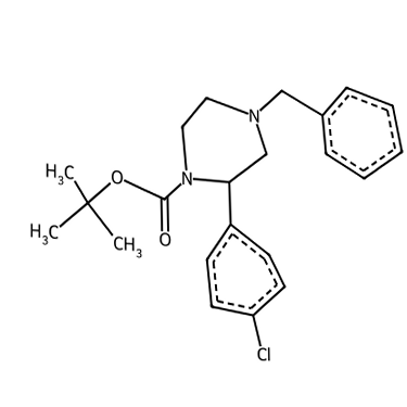 CC(C)(C)OC(=O)N1CCN(Cc2ccccc2)CC1c1ccc(Cl)cc1